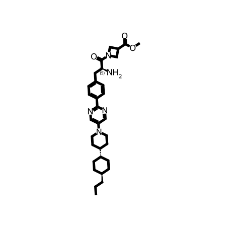 CCC[C@H]1CC[C@H](C2CCN(c3cnc(-c4ccc(C[C@H](N)C(=O)N5CC(C(=O)OC)C5)cc4)nc3)CC2)CC1